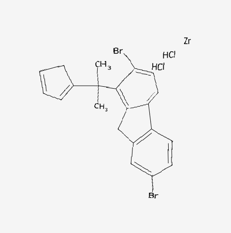 CC(C)(C1=CC=CC1)c1c(Br)ccc2c1Cc1cc(Br)ccc1-2.Cl.Cl.[Zr]